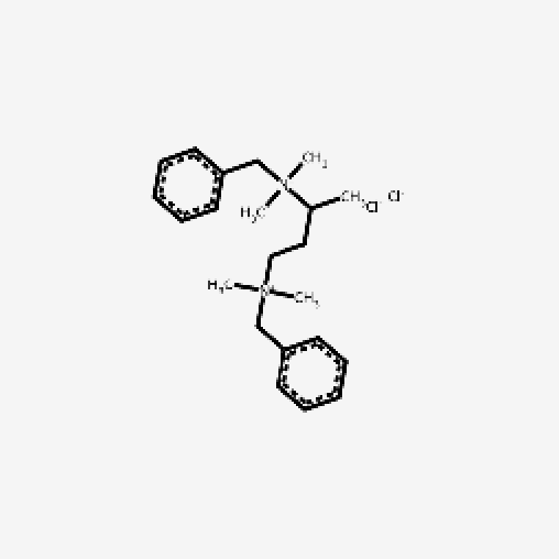 CC(CC[N+](C)(C)Cc1ccccc1)[N+](C)(C)Cc1ccccc1.[Cl-].[Cl-]